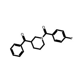 O=C(c1ccccc1)C1CCCN(C(=O)c2ccc(F)cc2)C1